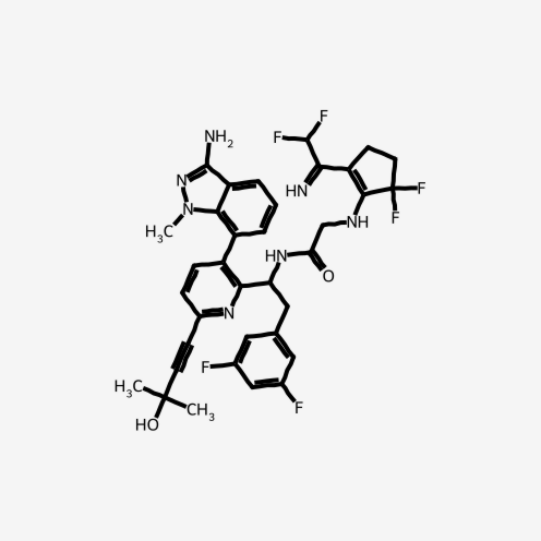 Cn1nc(N)c2cccc(-c3ccc(C#CC(C)(C)O)nc3C(Cc3cc(F)cc(F)c3)NC(=O)CNC3=C(C(=N)C(F)F)CCC3(F)F)c21